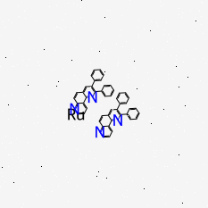 [Ru].c1ccc(-c2cc3ccc4ncccc4c3nc2-c2ccccc2)cc1.c1ccc(-c2cc3ccc4ncccc4c3nc2-c2ccccc2)cc1